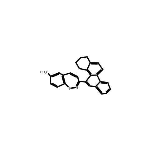 O=C(O)c1ccc2c(c1)C=CC(c1cc3ccccc3c3ccc4c(c13)CCCC4)=NS2